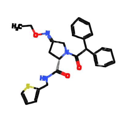 CCON=C1C[C@@H](C(=O)NCc2cccs2)N(C(=O)C(c2ccccc2)c2ccccc2)C1